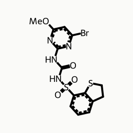 COc1cc(Br)nc(NC(=O)NS(=O)(=O)c2cccc3c2SCC3)n1